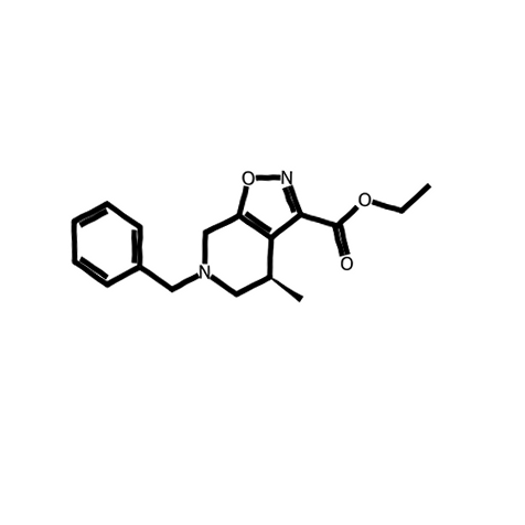 CCOC(=O)c1noc2c1[C@@H](C)CN(Cc1ccccc1)C2